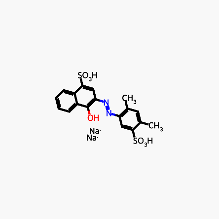 Cc1cc(C)c(S(=O)(=O)O)cc1N=Nc1cc(S(=O)(=O)O)c2ccccc2c1O.[Na].[Na]